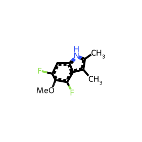 COc1c(F)cc2[nH]c(C)c(C)c2c1F